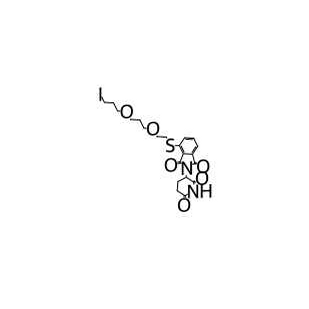 O=C1CCC(N2C(=O)c3cccc(SCCOCCCOCCCI)c3C2=O)C(=O)N1